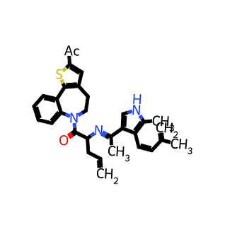 C=CCC(/N=C(\C)c1c[nH]c(C)c1/C=C\C(=C)C)C(=O)N1CCc2cc(C(C)=O)sc2-c2ccccc21